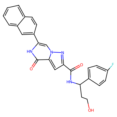 O=C(NC(CCO)c1ccc(F)cc1)c1cc2c(=O)[nH]c(-c3ccc4ccccc4c3)cn2n1